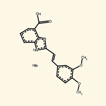 Br.COc1ccc(/C=C/c2nc3c(C(=O)O)cccc3[nH]2)cc1OC